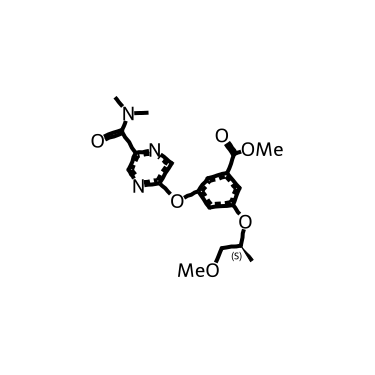 COC[C@H](C)Oc1cc(Oc2cnc(C(=O)N(C)C)cn2)cc(C(=O)OC)c1